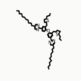 CCCCCCCCCCCc1cnc(-c2ccc(Oc3ccc(-c4ncc(CCCCCCCCCCC)cn4)cc3CC3CCC(CCC)S3)c(CC3CCC(CCC)S3)c2)nc1